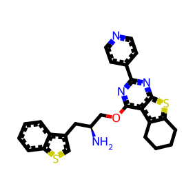 N[C@H](COc1nc(-c2ccncc2)nc2sc3c(c12)CCCC3)Cc1csc2ccccc12